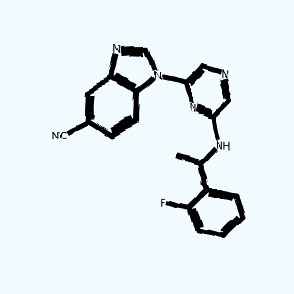 CC(Nc1cncc(-n2cnc3cc(C#N)ccc32)n1)c1ccccc1F